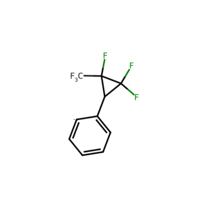 FC(F)(F)C1(F)C(c2[c]cccc2)C1(F)F